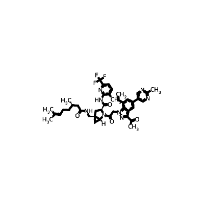 C=Cc1cc(-c2cnc(C)nc2)cc2c(C(C)=O)nn(CC(=O)N3[C@H](C(=O)Nc4nc(C(F)(F)F)ccc4C)C[C@@]4(CNC(=O)C[C@@H](C)CCC=C(C)C)C[C@@H]34)c12